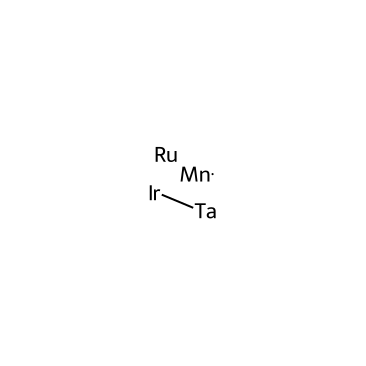 [Mn].[Ru].[Ta][Ir]